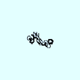 Cc1c(N2CCCC2=O)c(N2CCN(CC3COc4ccccc4O3)CC2)nn1C